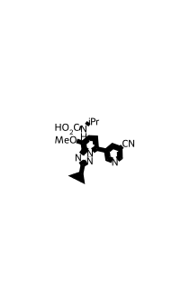 CC(C)NC(=O)O.COc1ccc(-c2cncc(C#N)c2)n2nc(C3CC3)nc12